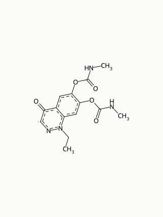 CCn1n[c]c(=O)c2cc(OC(=O)NC)c(OC(=O)NC)cc21